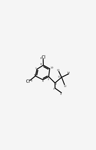 CCC(c1cc(Cl)cc(Cl)c1)C(C)(C)C